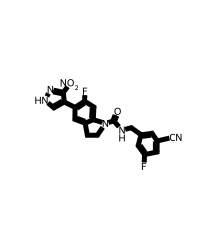 N#Cc1cc(F)cc(CNC(=O)N2CCc3cc(-c4c[nH]nc4[N+](=O)[O-])c(F)cc32)c1